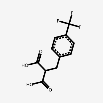 O=C(O)C(Cc1ccc(C(F)(F)F)cc1)C(=O)O